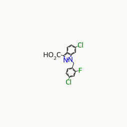 O=C(O)c1nn(Cc2ccc(Cl)cc2F)c2cc(Cl)ccc12